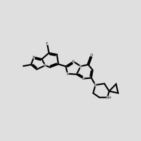 Cc1cn2cc(-c3nn4c(=O)cc(N5CCNC6(CC6)C5)nc4s3)cc(F)c2n1